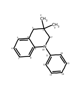 CC1(C)Cc2ccccc2N(c2ccccc2)C1